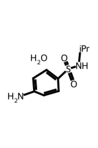 CC(C)NS(=O)(=O)c1ccc(N)cc1.O